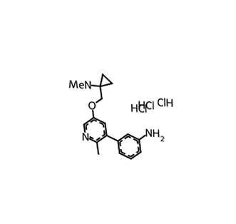 CNC1(COc2cnc(C)c(-c3cccc(N)c3)c2)CC1.Cl.Cl.Cl